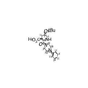 CC(C)(C)O[C@@H]1CN[C@H](C(=O)N2CCN(c3ccccc3)CC2)[C@@H](C(=O)O)C1